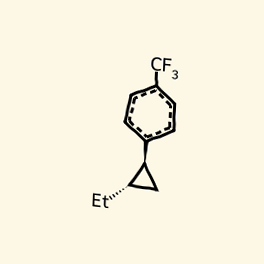 CC[C@H]1C[C@@H]1c1ccc(C(F)(F)F)cc1